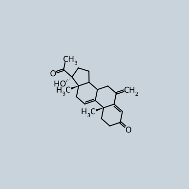 C=C1CC2C(=CC[C@@]3(C)C2CC[C@]3(O)C(C)=O)[C@@]2(C)CCC(=O)C=C12